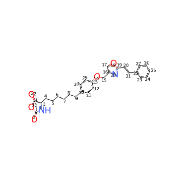 O=C1NC(CCCCCCc2ccc(OCc3coc(C=Cc4ccccc4)n3)cc2)C(=O)O1